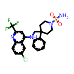 NS(=O)(=O)N1CCC(CNc2cc(C(F)(F)F)nc3ccc(Cl)cc23)(c2ccccc2)CC1